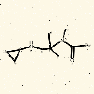 CC(C)C(=O)N(C)C(C)(C)CNC1CC1